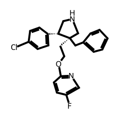 Fc1ccc(OCC[C@@]2(Cc3ccccc3)CNC[C@H]2c2ccc(Cl)cc2)nc1